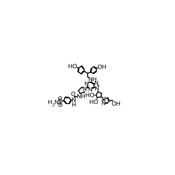 NS(=O)(=O)c1ccc(NC(=O)N[C@@H]2CCN(c3nc(NCC(c4ccc(O)cc4)c4ccc(O)cc4)c4ncn([C@@H]5C[C@H](n6cc(CO)cn6)[C@@H](O)[C@H]5O)c4n3)C2)cc1